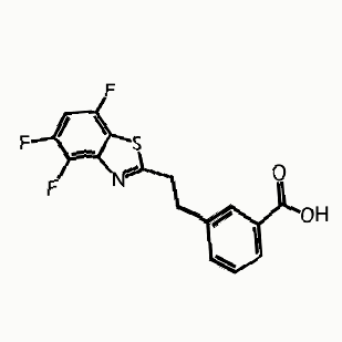 O=C(O)c1cccc(CCc2nc3c(F)c(F)cc(F)c3s2)c1